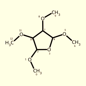 COC1OC(OC)C(OC)C1OC